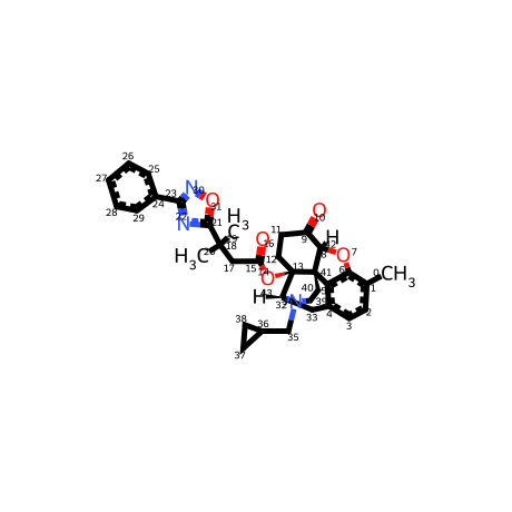 Cc1ccc2c3c1O[C@H]1C(=O)CC[C@@]4(OC(=O)CC(C)(C)c5nc(-c6ccccc6)no5)[C@@H](C2)N(CC2CC2)CC[C@]314